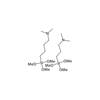 CO[Si](CCCCN(C)C)(OC)OC.CO[Si](CCCN(C)C)(OC)OC